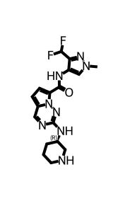 Cn1cc(NC(=O)c2ccc3cnc(N[C@@H]4CCCNC4)nn23)c(C(F)F)n1